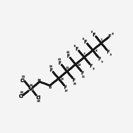 FC(F)(F)C(F)(F)C(F)(F)C(F)(F)C(F)(F)C(F)(F)C[CH2][Sn]([Cl])([Cl])[Cl]